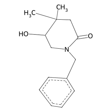 CC1(C)CC(=O)N(Cc2ccccc2)CC1O